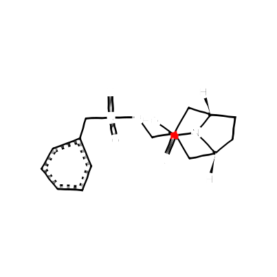 O=C(O)N1[C@@H]2CC[C@H]1CC(COS(=O)(=O)Cc1ccccc1)C2